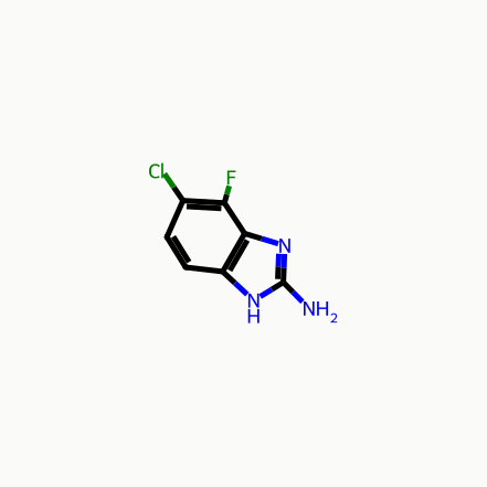 Nc1nc2c(F)c(Cl)ccc2[nH]1